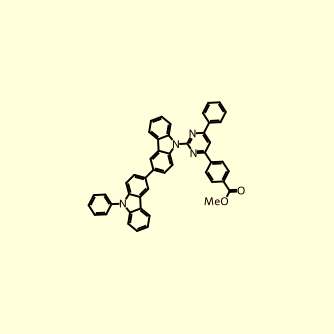 COC(=O)c1ccc(-c2cc(-c3ccccc3)nc(-n3c4ccccc4c4cc(-c5ccc6c(c5)c5ccccc5n6-c5ccccc5)ccc43)n2)cc1